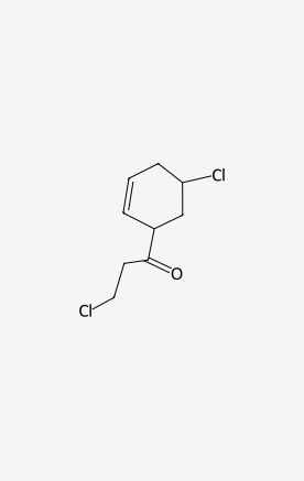 O=C(CCCl)C1C=CCC(Cl)C1